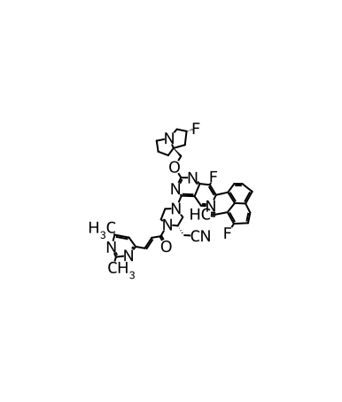 C#Cc1c(F)ccc2cccc(-c3ncc4c(N5CCN(C(=O)/C=C/c6cc(C)nc(C)n6)[C@@H](CC#N)C5)nc(OC[C@@]56CCCN5C[C@H](F)C6)nc4c3F)c12